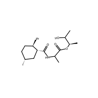 CC(NC(=O)[C@@H]1C[C@H](C)CC[C@H]1C(C)C)C(=O)O[C@H](C)C(C)O